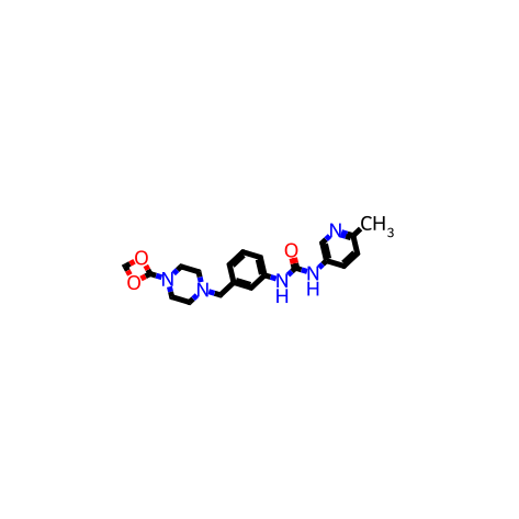 Cc1ccc(NC(=O)Nc2cccc(CN3CCN(C4OCO4)CC3)c2)cn1